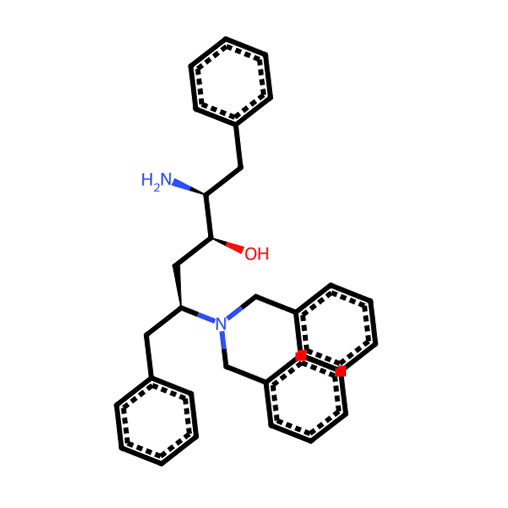 N[C@@H](Cc1ccccc1)[C@@H](O)C[C@H](Cc1ccccc1)N(Cc1ccccc1)Cc1ccccc1